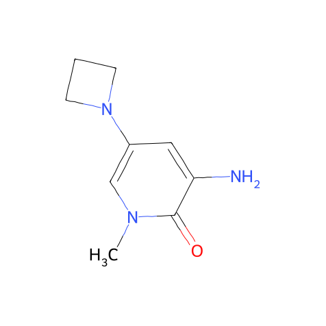 Cn1cc(N2CCC2)cc(N)c1=O